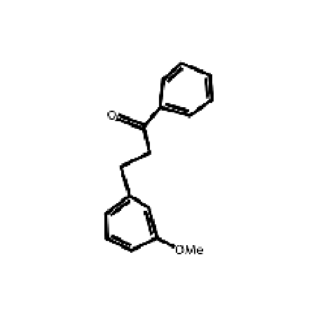 COc1cccc(CCC(=O)c2ccccc2)c1